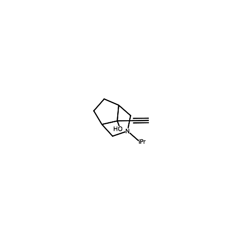 C#CC1(O)C2CCC1CN(C(C)C)C2